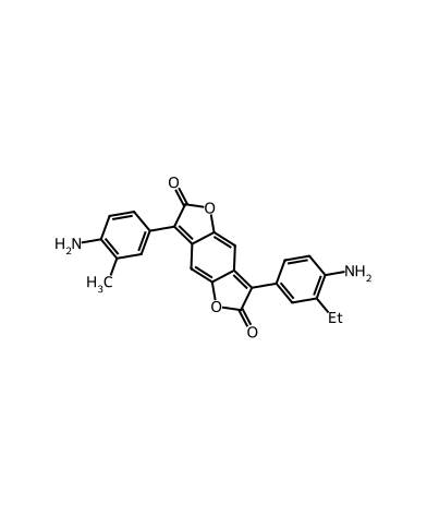 CCc1cc(C2=c3cc4c(cc3OC2=O)=C(c2ccc(N)c(C)c2)C(=O)O4)ccc1N